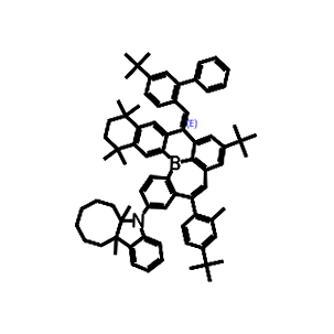 Cc1cc(C(C)(C)C)ccc1C1=Cc2cc(C(C)(C)C)cc3c2B(c2ccc(N4c5ccccc5C5(C)CCCCCCC45C)cc21)c1cc2c(cc1/C3=C\c1ccc(C(C)(C)C)cc1-c1ccccc1)C(C)(C)CCC2(C)C